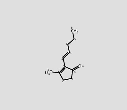 CCCC=CC1=C(C)CCC1=O